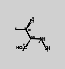 CC[C@H](C)[C@H](NS)C(=O)O